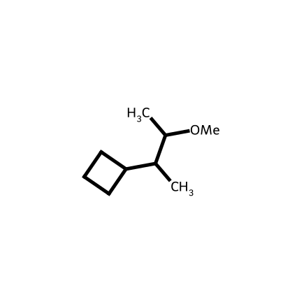 COC(C)C(C)C1CCC1